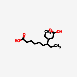 CCC(CCCCCC(=O)O)C(CC)CC(=O)O